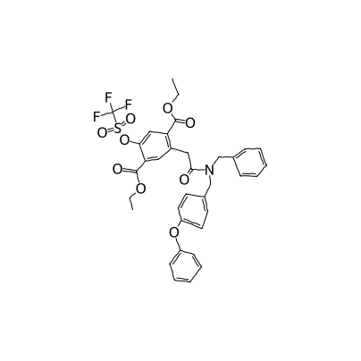 CCOC(=O)c1cc(OS(=O)(=O)C(F)(F)F)c(C(=O)OCC)cc1CC(=O)N(Cc1ccccc1)Cc1ccc(Oc2ccccc2)cc1